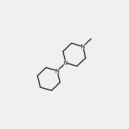 CN1CCN(N2CCCCC2)CC1